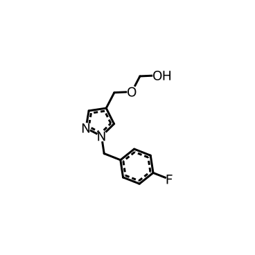 OCOCc1cnn(Cc2ccc(F)cc2)c1